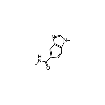 Cn1cnc2cc(C(=O)NF)ccc21